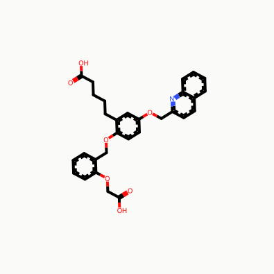 O=C(O)CCCCc1cc(OCc2ccc3ccccc3n2)ccc1OCc1ccccc1OCC(=O)O